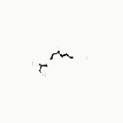 CCC(CC(C)(C)C)C(=O)OCCC(C)C(=O)CCC(=O)O